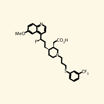 COc1ccc2nccc([C@H](F)CC[C@@H]3CCN(CCCSc4cccc(C(F)(F)F)c4)C[C@@H]3CC(=O)O)c2c1